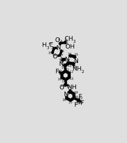 CC(O)C(=O)N1C[C@H](c2nc(-c3ccc(C(=O)Nc4cc(C(F)(F)F)ccn4)cc3F)c3c(N)nccn23)OC[C@@H]1C